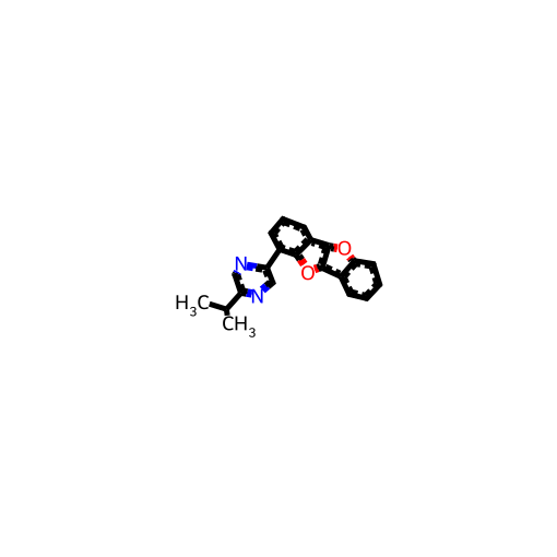 CC(C)c1cnc(-c2cccc3c2oc2c4ccccc4oc32)cn1